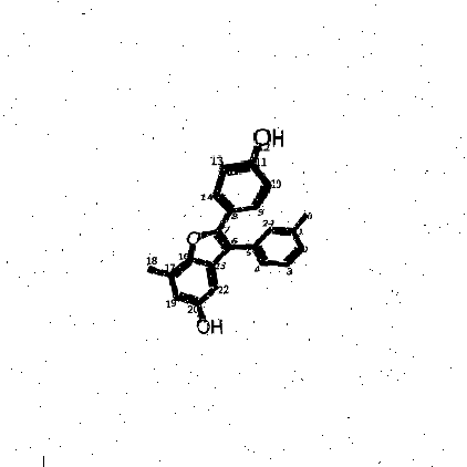 Cc1cccc(-c2c(-c3ccc(O)cc3)oc3c(C)cc(O)cc23)c1